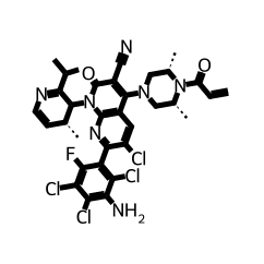 C=CC(=O)N1[C@H](C)CN(c2c(C#N)c(=O)n(C3C(C(C)C)=NC=C[C@H]3C)c3nc(-c4c(F)c(Cl)c(Cl)c(N)c4Cl)c(Cl)cc23)C[C@@H]1C